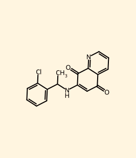 CC(NC1=CC(=O)c2cccnc2C1=O)c1ccccc1Cl